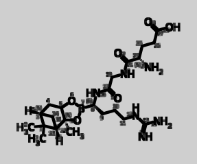 CC1(C)[C@@H]2CC3OB([C@H](CCCNC(=N)N)NC(=O)CNC(=O)[C@@H](N)CCC(=O)O)O[C@@]3(C)[C@H]1C2